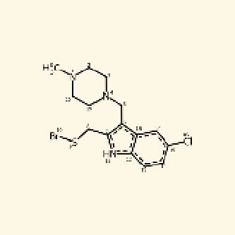 CN1CCN(Cc2c(CSBr)[nH]c3ccc(Cl)cc23)CC1